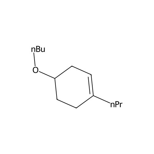 CCCCOC1CC=C(CCC)CC1